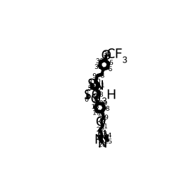 CS(=O)(=O)O.FC(F)(F)Oc1ccc(/C=C/c2nc(COc3ccc(COCCn4ccnn4)cc3)cs2)cc1